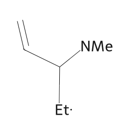 C=CC([CH]C)NC